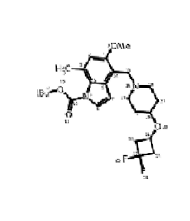 COc1cc(C)c2c(ccn2C(=O)OC(C)(C)C)c1CN1CCC(OC2CC(F)(F)C2)CC1